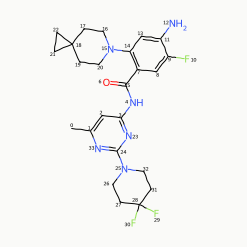 Cc1cc(NC(=O)c2cc(F)c(N)cc2N2CCC3(CC2)CC3)nc(N2CCC(F)(F)CC2)n1